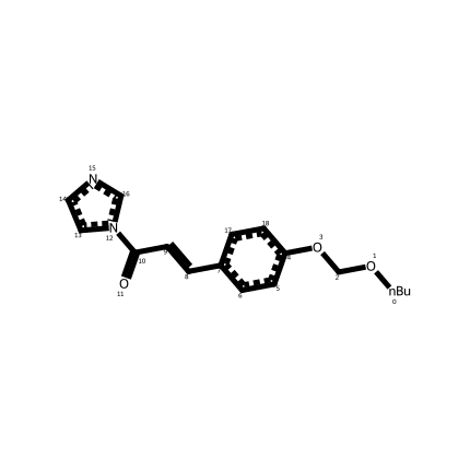 CCCCOCOc1ccc(/C=C/C(=O)n2ccnc2)cc1